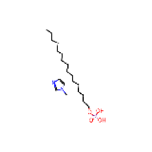 CCCCCCCCCCCCCCCCOP(=O)(O)O.Cn1ccnc1